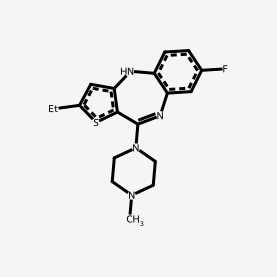 CCc1cc2c(s1)C(N1CCN(C)CC1)=Nc1cc(F)ccc1N2